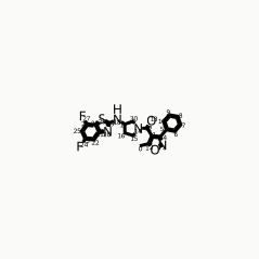 Cc1onc(-c2ccccc2)c1C(=O)N1CCC(Nc2nc3cc(F)cc(F)c3s2)C1